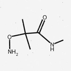 CNC(=O)C(C)(C)ON